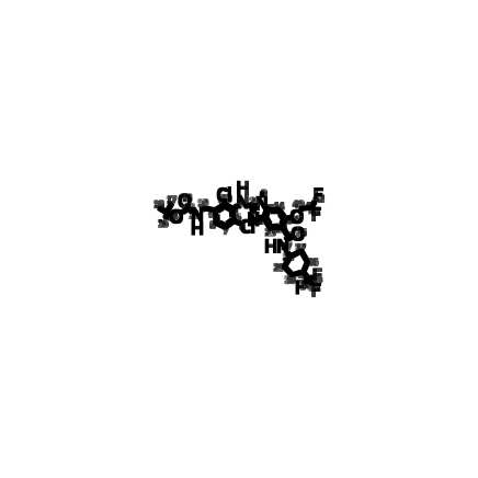 Cn1c(Nc2c(Cl)ccc(CNC(=O)OC(C)(C)C)c2Cl)nc2cc(C(=O)NC3CCC(C(F)(F)F)CC3)c(OCC(F)F)cc21